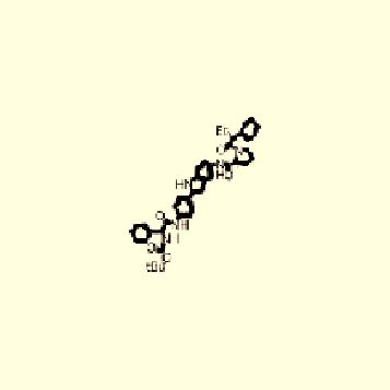 CC[C@@H](C(=O)N1CCC[C@H]1C(=O)Nc1ccc2[nH]c(-c3ccc(NC(=O)[C@@H](NC(=O)OC(C)(C)C)c4ccccc4)cc3)cc2c1)c1ccccc1